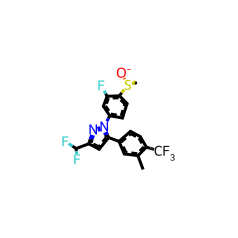 Cc1cc(-c2cc(C(F)F)nn2-c2ccc([S+](C)[O-])c(F)c2)ccc1C(F)(F)F